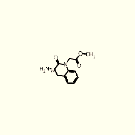 COC(=O)CN1C(=O)[C@@H](N)Cc2ccccc21